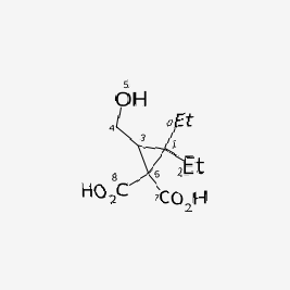 CCC1(CC)C(CO)C1(C(=O)O)C(=O)O